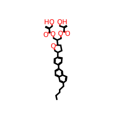 C=C(CO)C(=O)OCC(COC(=O)C(=C)CO)C1CCC(c2ccc(-c3ccc4cc(CCCCC)ccc4c3)cc2)CO1